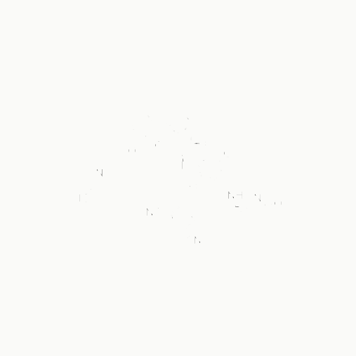 N#Cc1cc(C#N)cc(COc2cc(O[C@@H]3c4cccc(-c5cccc(OCCCN6CC(O)C6)c5Cl)c4C[C@@H]3F)c(Cl)cc2CNC[C@@H]2CCC(=O)N2)c1